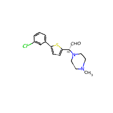 CN1CCN([C@@H](C=O)c2ccc(-c3cccc(Cl)c3)s2)CC1